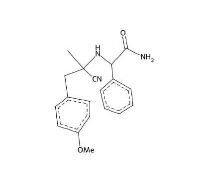 COc1ccc(CC(C)(C#N)NC(C(N)=O)c2ccccc2)cc1